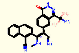 BC(B)(N)c1n[nH]c(=O)c2ccc(/C(C=N)=C(/NC)c3ccc4ccccc4c3C#N)cc12